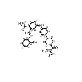 NC(=O)c1cnc(Nc2ccc(C3CCN(C(=O)C4(N)CC4)CC3)cc2)cc1NCc1ccccc1F